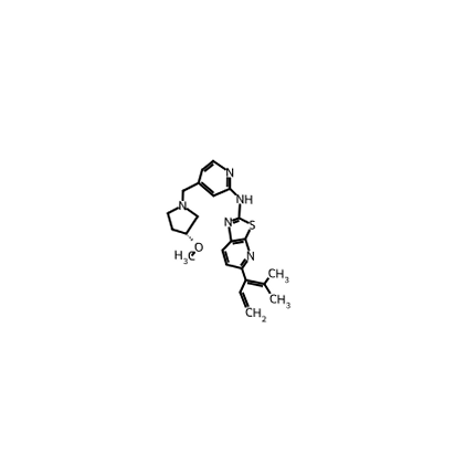 C=CC(=C(C)C)c1ccc2nc(Nc3cc(CN4CC[C@@H](OC)C4)ccn3)sc2n1